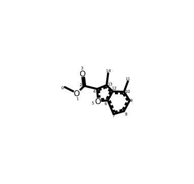 COC(=O)c1oc2cccc(C)c2c1C